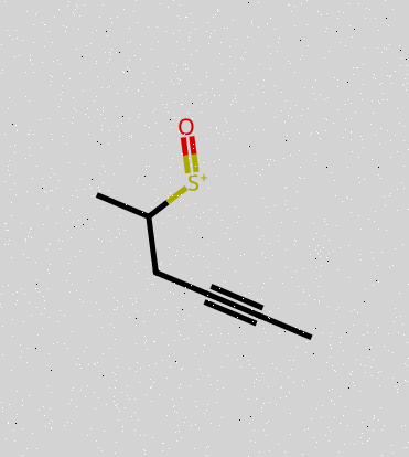 CC#CCC(C)[S+]=O